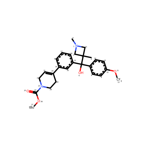 CN1CC(C)(C(O)(c2ccc(OC(F)(F)F)cc2)c2cccc(C3=CCN(C(=O)OC(C)(C)C)CC3)c2)C1